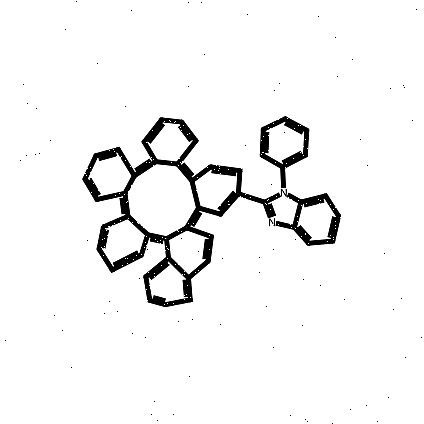 c1ccc(-n2c(-c3ccc4c5ccccc5c5ccccc5c5ccccc5c5c6ccccc6ccc5c4c3)nc3ccccc32)cc1